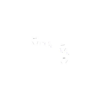 CN(c1ccccc1)c1cccc(CCNC(=O)NCc2ccc(Cl)c(Cl)c2)n1